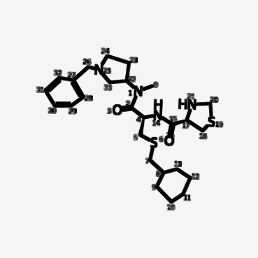 CN(C(=O)[C@H](CSCC1CCCCC1)NC(=O)[C@@H]1CSCN1)C1CCN(Cc2ccccc2)C1